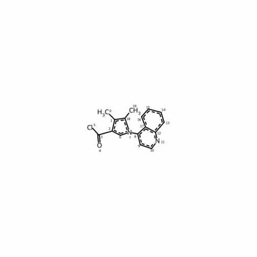 Cc1c(C(=O)Cl)cn(-c2ccnc3ccccc23)c1C